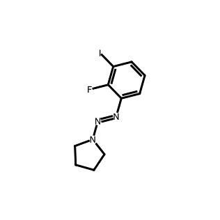 Fc1c(I)cccc1N=NN1CCCC1